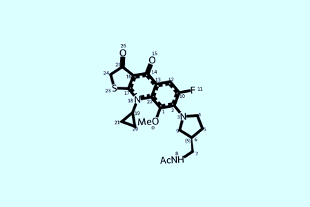 COc1c(N2CC[C@@H](CNC(C)=O)C2)c(F)cc2c(=O)c3c(n(C4CC4)c12)SCC3=O